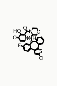 O=C1c2c(O)c(=O)ccn2N([C@@H]2c3cc(F)ccc3-c3cc(Cl)sc3-c3ccccc32)[C@@H]2COCCN12